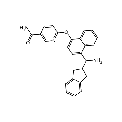 NC(=O)c1ccc(Oc2ccc(C(N)C3Cc4ccccc4C3)c3ccccc23)nc1